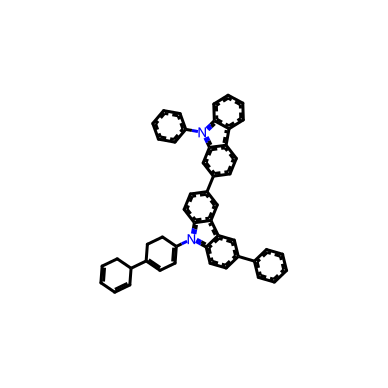 C1=CCC(C2=CC=C(n3c4ccc(-c5ccccc5)cc4c4cc(-c5ccc6c7ccccc7n(-c7ccccc7)c6c5)ccc43)CC2)C=C1